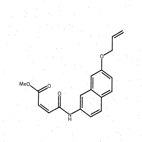 C=CCOc1ccc2ccc(NC(=O)/C=C\C(=O)OC)cc2c1